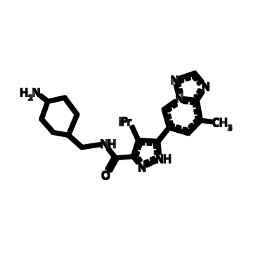 Cc1cc(-c2[nH]nc(C(=O)NCC3CCC(N)CC3)c2C(C)C)cn2ncnc12